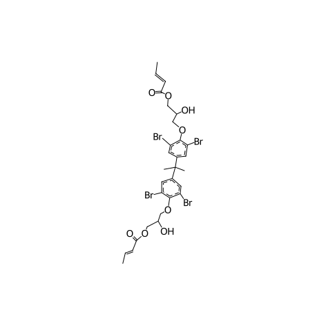 CC=CC(=O)OCC(O)COc1c(Br)cc(C(C)(C)c2cc(Br)c(OCC(O)COC(=O)C=CC)c(Br)c2)cc1Br